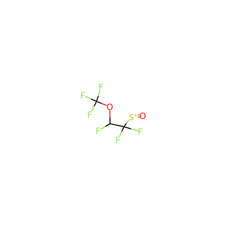 O=[S+]C(F)(F)C(F)OC(F)(F)F